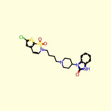 O=c1[nH]c2ccccc2n1C1CCN(CCCCN2C=Cc3cc(Cl)sc3S2(=O)=O)CC1